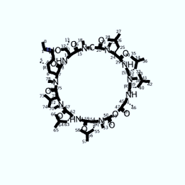 C/C=C/C[C@@H](C)CC1C(=O)NC([C@@H](C)O)C(=O)N(C)CC(=O)N(C)[C@@H](CC(C)C)C(=O)N[C@H](CC(C)C)N(C)[C@H](CC(C)C)N[C@H](C)C(=O)OC(=O)N(C)[C@H](CC(C)C)C(=O)N[C@H](CC(C)C)C(=O)N(C)C(C(C)C)C(=O)N1C